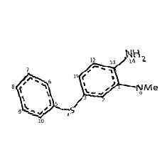 CNc1cc(Sc2ccccc2)ccc1N